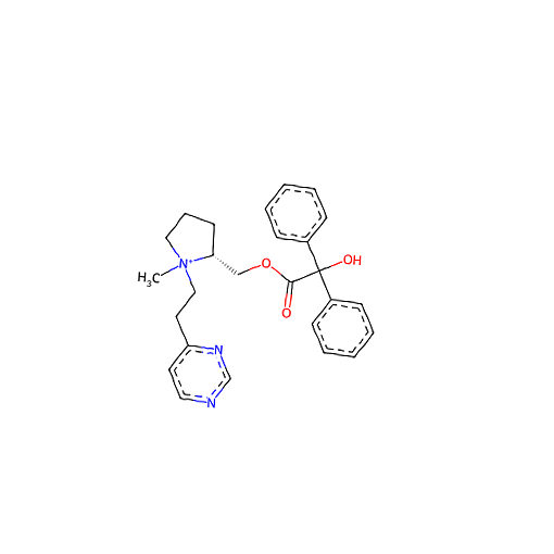 C[N+]1(CCc2ccncn2)CCC[C@@H]1COC(=O)C(O)(c1ccccc1)c1ccccc1